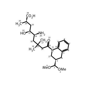 COC(OC)[C@@H]1Cc2ccccc2N(C(=O)CC(C)(C)C[C@H](N)[C@@H](O)C[C@@H](C)C(=O)O)C1